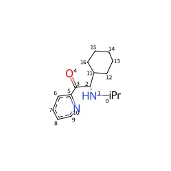 CC(C)N[C@H](C(=O)c1ccccn1)C1CCCCC1